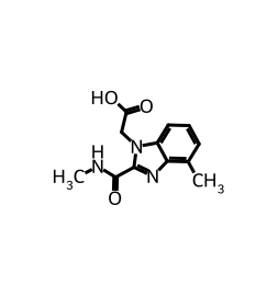 CNC(=O)c1nc2c(C)cccc2n1CC(=O)O